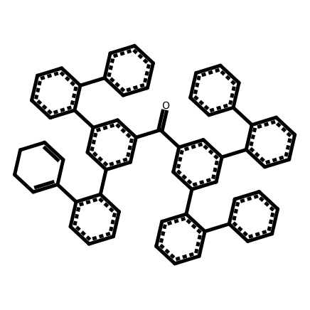 O=C(c1cc(-c2ccccc2C2=CCCC=C2)cc(-c2ccccc2-c2ccccc2)c1)c1cc(-c2ccccc2-c2ccccc2)cc(-c2ccccc2-c2ccccc2)c1